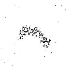 COc1ccc2ncc(F)c(CCCC3(C(=O)O)CCN(CCOc4c(F)cccc4F)CC3)c2c1